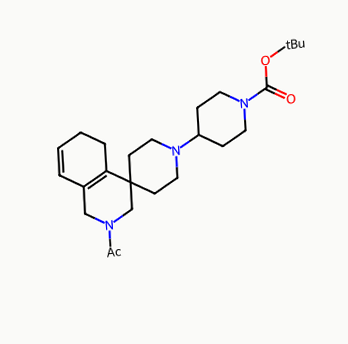 CC(=O)N1CC2=C(CCC=C2)C2(CCN(C3CCN(C(=O)OC(C)(C)C)CC3)CC2)C1